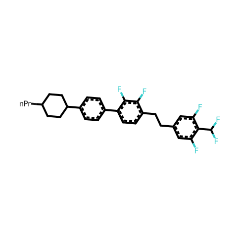 CCCC1CCC(c2ccc(-c3ccc(CCc4cc(F)c(C(F)F)c(F)c4)c(F)c3F)cc2)CC1